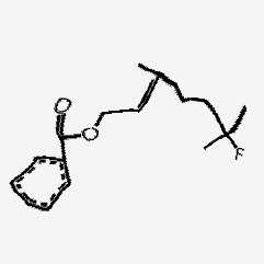 C/C(=C\COC(=O)c1ccccc1)CCCC(C)(C)F